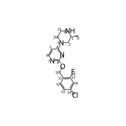 C[C@H]1CN(c2ccnc(OCc3ccc(Cl)cc3F)n2)CCN1